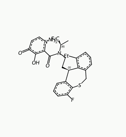 CCc1cccc2c1[C@H](CCN(C(=O)c1c(O)c(=O)ccn1N)[C@H](C)C(F)(F)F)c1cccc(F)c1SC2